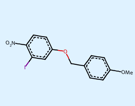 COc1ccc(COc2ccc([N+](=O)[O-])c(I)c2)cc1